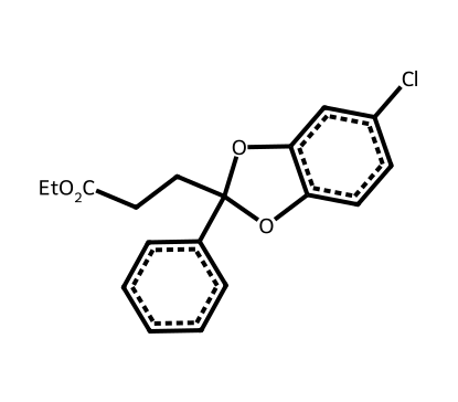 CCOC(=O)CCC1(c2ccccc2)Oc2ccc(Cl)cc2O1